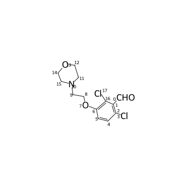 O=Cc1c(Cl)ccc(OCCN2CCOCC2)c1Cl